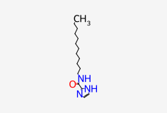 CCCCCCCCCCCCNC(=O)c1ncc[nH]1